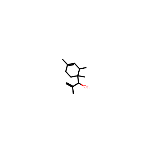 C=C(C)C(O)C1(C)CCC(C)=CC1C